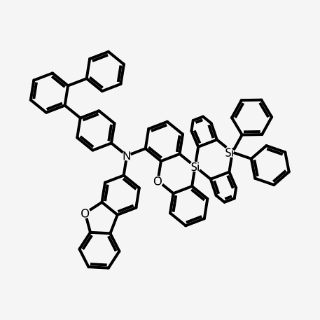 c1ccc(-c2ccccc2-c2ccc(N(c3ccc4c(c3)oc3ccccc34)c3cccc4c3Oc3ccccc3[Si]43c4ccccc4[Si](c4ccccc4)(c4ccccc4)c4ccccc43)cc2)cc1